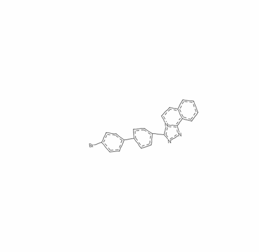 Brc1ccc(-c2ccc(-c3nnc4c5ccccc5ccn34)cc2)cc1